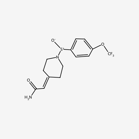 NC(=O)C=C1CCN([S+]([O-])c2ccc(OC(F)(F)F)cc2)CC1